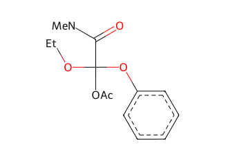 CCOC(OC(C)=O)(Oc1ccccc1)C(=O)NC